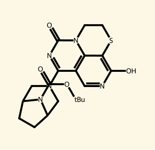 CC(C)(C)OC(=O)N1C2CCC1CN(c1nc(=O)n3c4c(c(O)ncc14)SCC3)C2